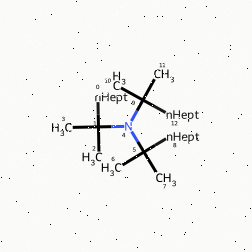 CCCCCCCC(C)(C)N(C(C)(C)CCCCCCC)C(C)(C)CCCCCCC